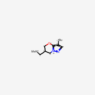 CNCC1COc2c(C(C)(C)C)cnn2C1